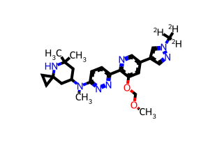 [2H]C([2H])([2H])n1cc(-c2cnc(-c3ccc(N(C)C4CC(C)(C)NC5(CC5)C4)nn3)c(OCOC)c2)cn1